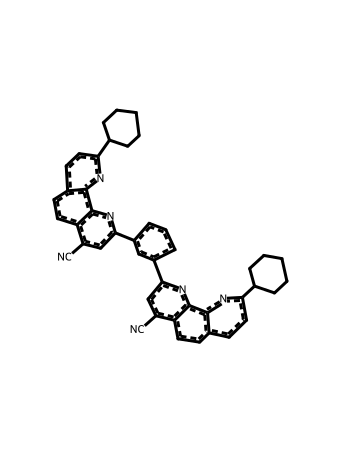 N#Cc1cc(-c2cccc(-c3cc(C#N)c4ccc5ccc(C6CCCCC6)nc5c4n3)c2)nc2c1ccc1ccc(C3CCCCC3)nc12